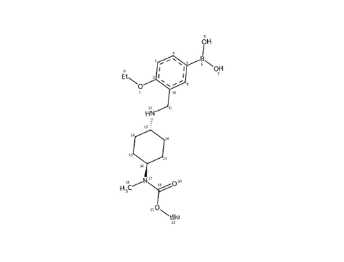 CCOc1ccc(B(O)O)cc1CN[C@H]1CC[C@H](N(C)C(=O)OC(C)(C)C)CC1